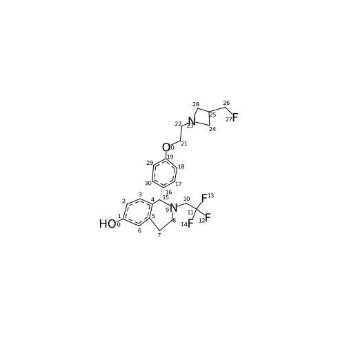 Oc1ccc2c(c1)CCN(CC(F)(F)F)[C@H]2c1ccc(OCCN2CC(CF)C2)cc1